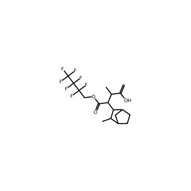 C=C(O)C(C)C(C(=O)OCC(F)(F)C(F)(F)C(F)(F)F)C1C2CCC(C2)C1C